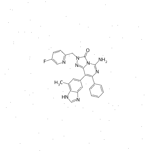 Cc1cc(-c2c(-c3ccccc3)nc(N)n3c(=O)n(Cc4ccc(F)cn4)nc23)cc2nc[nH]c12